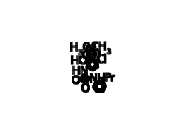 CC(C)c1ccccc1Nc1c(Nc2ccc(Cl)c(S(=O)(=O)N(C)C)c2O)c(=O)c1=O